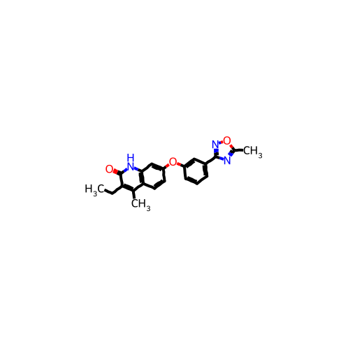 CCc1c(C)c2ccc(Oc3cccc(-c4noc(C)n4)c3)cc2[nH]c1=O